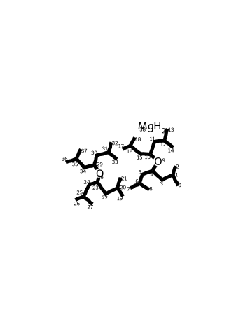 CC(C)CC(CC(C)C)OC(CC(C)C)CC(C)C.CC(C)CC(CC(C)C)OC(CC(C)C)CC(C)C.[MgH2]